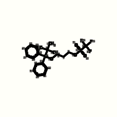 CC(C)(C)[Si](OCCCOS(=O)(=O)C(F)(F)F)(c1ccccc1)c1ccccc1